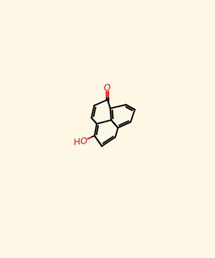 O=C1C=Cc2c(O)ccc3cccc1c23